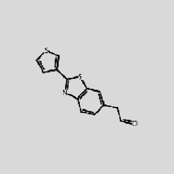 O=CCc1ccc2nc(-c3ccsc3)sc2c1